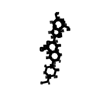 CCN1CCN(c2ccc3cc(-c4cn5cc(C)nc(C)c5n4)oc(=O)c3c2)CC1